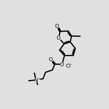 Cc1cc(=O)oc2cc(OC(=O)CCC[N+](C)(C)C)ccc12.[Cl-]